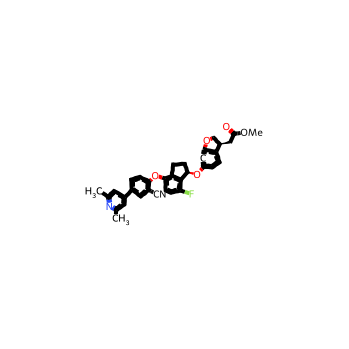 COC(=O)C[C@@H]1COc2cc(O[C@@H]3CCc4c(Oc5ccc(-c6cc(C)nc(C)c6)cc5C#N)ccc(F)c43)ccc21